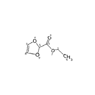 CCOC(=O)C1OC=CO1